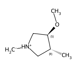 [CH2-][NH+]1C[C@@H](C)[C@H](OC)C1